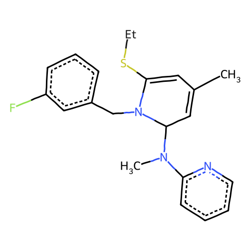 CCSC1=CC(C)=CC(N(C)c2ccccn2)N1Cc1cccc(F)c1